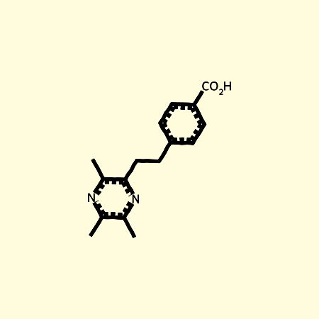 Cc1nc(C)c(CCc2ccc(C(=O)O)cc2)nc1C